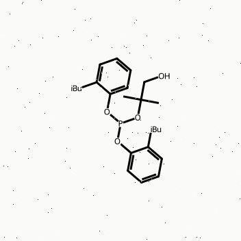 CCC(C)c1ccccc1OP(Oc1ccccc1C(C)CC)OC(C)(C)CO